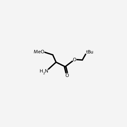 COCC(N)C(=O)OCC(C)(C)C